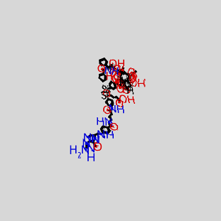 CC(=O)O[C@H]1C(=O)[C@@]2(C)[C@H]([C@H](OC(=O)c3ccc([Si](C)(C)O[Si](C)(CCCC(=O)O)c4ccc(NC(=O)CCCNC(=O)c5ccc(NCc6cnc7nc(N)[nH]c(=O)c7n6)cc5)cc4)cc3)[C@]3(O)C[C@H](OC(=O)[C@H](O)[C@@H](NC(=O)c4ccccc4)c4ccccc4)C(C)=C1C3(C)C)[C@]1(OC(C)=O)CO[C@@H]1C[C@@H]2O